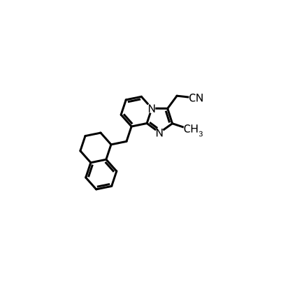 Cc1nc2c(CC3CCCc4ccccc43)cccn2c1CC#N